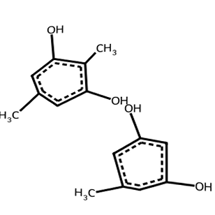 Cc1cc(O)c(C)c(O)c1.Cc1cc(O)cc(O)c1